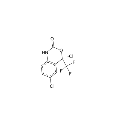 O=C1Nc2ccc(Cl)cc2[C@](Cl)(C(F)(F)F)O1